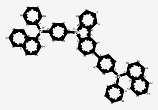 c1ccc(N(c2ccc(-c3ccc4c(c3)c3ccccc3n4-c3ccc(N(c4ccccc4)c4cccc5ccccc45)cc3)cc2)c2cccc3ccccc23)cc1